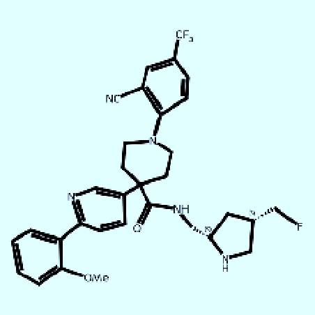 COc1ccccc1-c1ccc(C2(C(=O)NC[C@@H]3C[C@H](CF)CN3)CCN(c3ccc(C(F)(F)F)cc3C#N)CC2)cn1